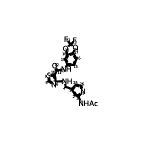 CC(=O)Nc1cc(CNc2ncsc2C(=O)Nc2ccc3c(c2)OC(F)(F)O3)ccn1